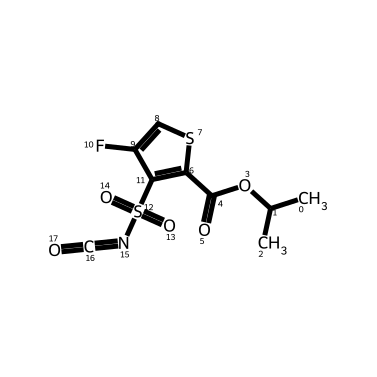 CC(C)OC(=O)c1scc(F)c1S(=O)(=O)N=C=O